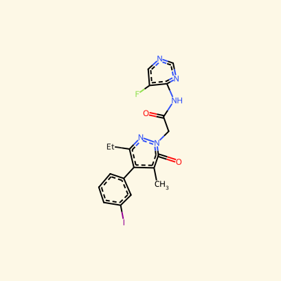 CCc1nn(CC(=O)Nc2ncncc2F)c(=O)c(C)c1-c1cccc(I)c1